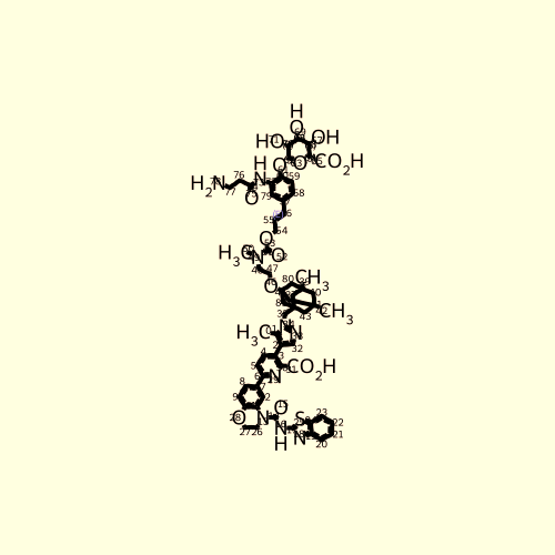 Cc1c(-c2ccc(-c3ccc4c(c3)N(C(=O)Nc3nc5ccccc5s3)CCO4)nc2C(=O)O)cnn1CC12CC3(C)CC(C)(C1)CC(OCCN(C)C(=O)OC/C=C/c1ccc(O[C@@H]4O[C@H](C(=O)O)[C@@H](O)[C@H](O)[C@H]4O)c(NC(=O)CCN)c1)(C3)C2